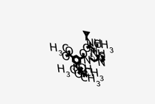 CC[C@H](NC[C@H](Cc1cscn1)NC(=O)c1cc(C(=O)OC)cc(N(C)S(=O)(=O)N(C)C)c1)C(=O)NCC1CC1